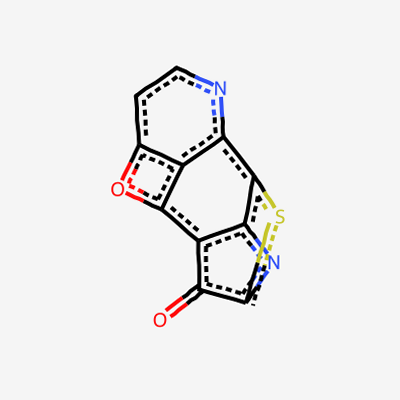 O=c1c2nc3c(s2)c2nccc4oc(c13)c42